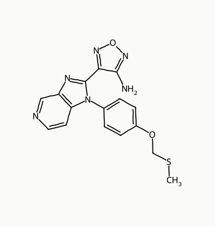 CSCOc1ccc(-n2c(-c3nonc3N)nc3cnccc32)cc1